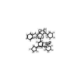 O=C(N[C@@H](Cc1ccccc1)[C@H](O)CNC1CCCCC1)c1cc(C2CCCC2)cc(N2CCCCS2(=O)=O)c1